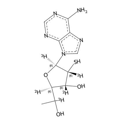 [2H]C(C)(O)[C@@]1([2H])O[C@@]([2H])(n2cnc3c(N)ncnc32)[C@]([2H])(S)[C@]1([2H])O